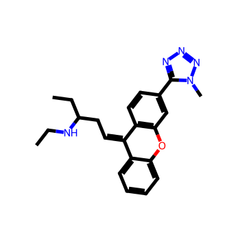 CCNC(CC)C/C=C1/c2ccccc2Oc2cc(-c3nnnn3C)ccc21